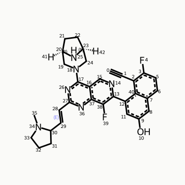 C#Cc1c(F)ccc2cc(O)cc(-c3ncc4c(N5C[C@H]6CC[C@@H](C5)N6)nc(/C=C/C5CCCN5C)nc4c3F)c12